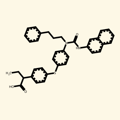 CCC(C(=O)O)c1ccc(Sc2ccc(N(CCCc3ccccc3)C(=O)Nc3ccc4ccccc4c3)cc2)cc1